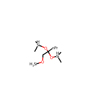 CCCC(CO[SiH3])(O[SiH](C)C)O[SiH](C)C